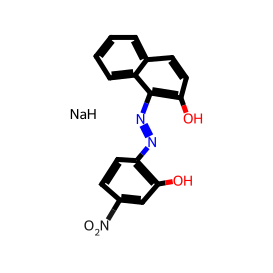 O=[N+]([O-])c1ccc(N=Nc2c(O)ccc3ccccc23)c(O)c1.[NaH]